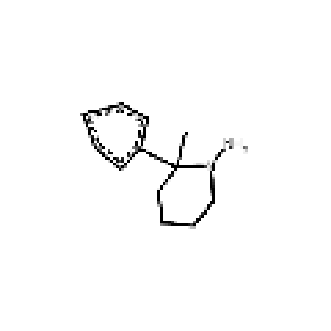 CC1(c2ccccc2)CCCCN1N